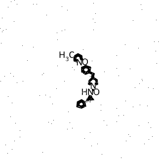 Cc1ccc(Oc2cccc(C=C3CCN(C(=O)NC4C[C@@H]4c4ccccc4)CC3)c2)nc1